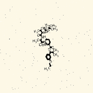 C=CCOc1cccc([C@H](OC(=O)[C@@H]2CCCN(C(=O)[C@H](C)NC(=O)[C@@H](NC(=O)OC(C)(C)C)C(C)C)N2)C(C)C)c1